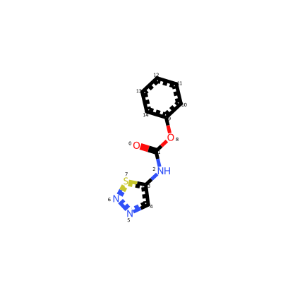 O=C(Nc1cnns1)Oc1ccccc1